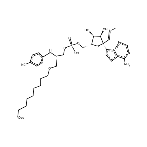 CCCCCCCCCCCCCCCCCCOC[C@H](COP(=O)(O)OC[C@H]1O[C@@](C=NC)(c2ccc3c(N)ncnn23)[C@H](O)[C@@H]1O)Nc1ccc(C#N)cn1